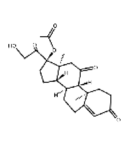 CC(=O)O[C@]1(C(=O)CO)CC[C@H]2[C@@H]3CCC4=CC(=O)CC[C@]4(C)[C@H]3C(=O)C[C@@]21C